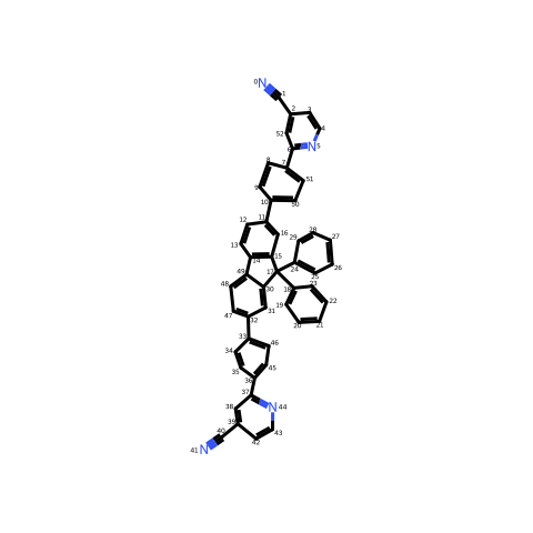 N#Cc1ccnc(-c2ccc(-c3ccc4c(c3)C(c3ccccc3)(c3ccccc3)c3cc(-c5ccc(-c6cc(C#N)ccn6)cc5)ccc3-4)cc2)c1